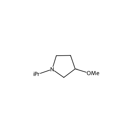 CO[C]1CCN(C(C)C)C1